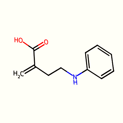 C=C(CCNc1ccccc1)C(=O)O